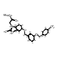 COC(=O)Cn1c(=O)oc2cc(SCc3cccc(OCc4ccc(C(F)(F)F)cc4)c3)ccc21